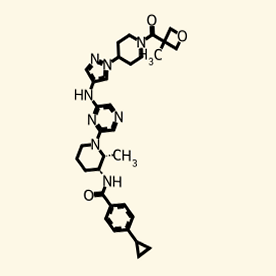 C[C@@H]1[C@H](NC(=O)c2ccc(C3CC3)cc2)CCCN1c1cncc(Nc2cnn(C3CCN(C(=O)C4(C)COC4)CC3)c2)n1